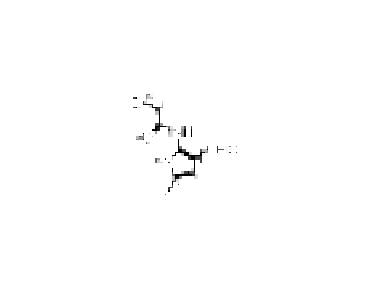 Cc1cc(C=O)c(NC(=O)CCl)s1